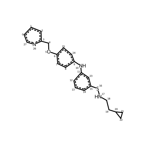 c1ccc(COc2ccc(Nc3cccc(SNCCC4CC4)c3)cc2)nc1